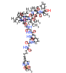 CC[C@H](C)[C@@H]([C@@H](CC(=O)N1CCC[C@H]1[C@H](OC)[C@@H](C)C(=O)N[C@H](C)[C@@H](O)c1ccccc1)OC)N(C)C(=O)[C@@H](NC(=O)[C@H](C(C)C)N(C)C(=O)COCNC(=O)CNC(=O)[C@H](Cc1ccccc1)NC(=O)CNC(=O)CNC(=O)CCCC#Cc1cnc(S(C)(=O)=O)nc1)C(C)C